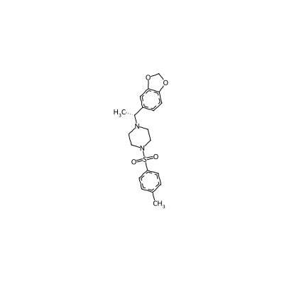 Cc1ccc(S(=O)(=O)N2CCN([C@H](C)c3ccc4c(c3)OCO4)CC2)cc1